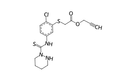 C#CCOC(=O)CSc1cc(NC(=S)N2CCCCN2)ccc1Cl